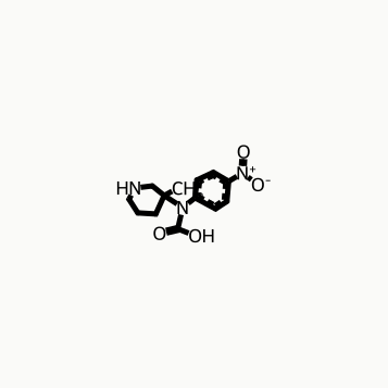 CC1(N(C(=O)O)c2ccc([N+](=O)[O-])cc2)CCCNC1